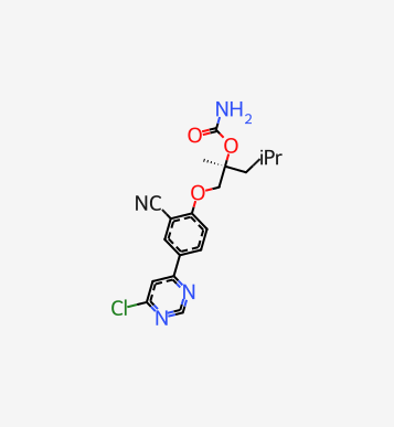 CC(C)C[C@@](C)(COc1ccc(-c2cc(Cl)ncn2)cc1C#N)OC(N)=O